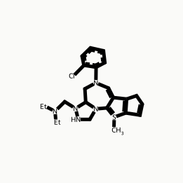 CCN(CC)CN1NCN2C3=S(C)C4=C(CC=C4)C3=CN(c3ccccc3Cl)CC12